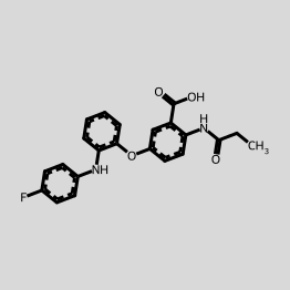 CCC(=O)Nc1ccc(Oc2ccccc2Nc2ccc(F)cc2)cc1C(=O)O